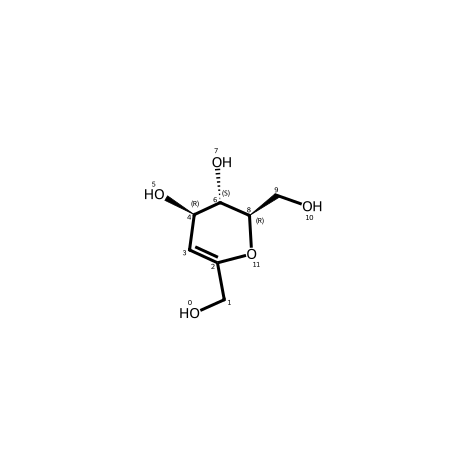 OCC1=C[C@@H](O)[C@H](O)[C@@H](CO)O1